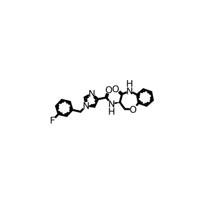 O=C(N[C@@H]1COc2ccccc2NC1=O)c1cn(Cc2cccc(F)c2)cn1